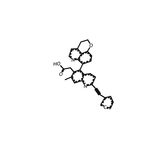 Cc1cc2nc(C#Cc3ccccc3)ccc2c(-c2ccc3c4c(ccnc24)CCO3)c1CC(=O)O